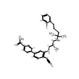 CC(C)(CCCc1ccccc1F)NC[C@@H](O)COc1cc(-c2ccc(C(=O)O)cc2)ccc1C#N